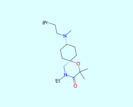 CCN1C[C@]2(CC[C@@H](N(C)CCC(C)C)CC2)OC(C)(C)C1=O